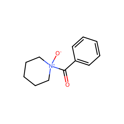 O=C(c1ccccc1)[N+]1([O-])CCCCC1